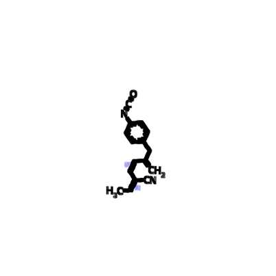 C=C(/C=C\C(C#N)=C/C)Cc1ccc(N=C=O)cc1